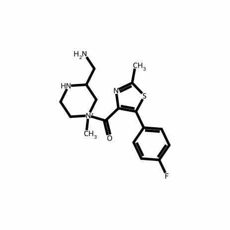 Cc1nc(C(=O)[N+]2(C)CCNC(CN)C2)c(-c2ccc(F)cc2)s1